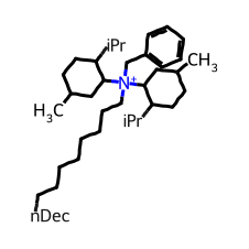 CCCCCCCCCCCCCCCCCC[N+](Cc1ccccc1)(C1CC(C)CCC1C(C)C)C1CC(C)CCC1C(C)C